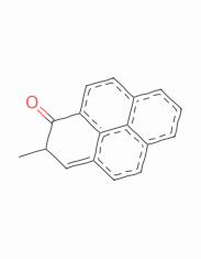 CC1C=c2ccc3cccc4ccc(c2c43)C1=O